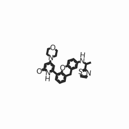 CC(Nc1ccc2c(c1)Cc1cccc(-c3cc(N4CCOCC4)cc(=O)[nH]3)c1O2)c1nccs1